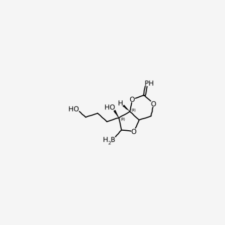 BC1OC2COC(=P)O[C@H]2[C@@]1(O)CCCO